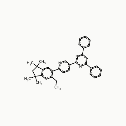 CCc1cc2c(cc1-c1ccc(-c3nc(-c4ccccc4)nc(-c4ccccc4)n3)cn1)C(C)(C)CC2(C)C